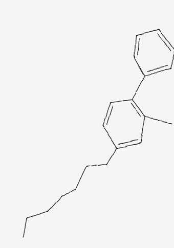 CCCCCCCc1ccc(-c2ccccc2)c(C)c1